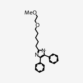 COCCOCCCCCC1=NC(c2ccccc2)=C(c2ccccc2)[N]1